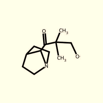 CC(C)(C[O])C(=O)C1C2CCN1CC2